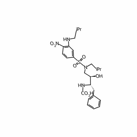 CC(C)CNc1cc(S(=O)(=O)N(CC(C)C)C[C@@H](O)[C@H](Cc2ccccc2)NC(=O)O)ccc1[N+](=O)[O-]